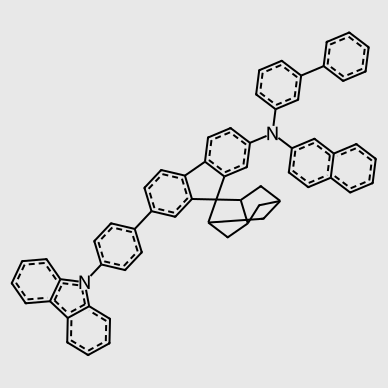 c1ccc(-c2cccc(N(c3ccc4c(c3)C3(c5cc(-c6ccc(-n7c8ccccc8c8ccccc87)cc6)ccc5-4)C4CC5CC(C4)C3C5)c3ccc4ccccc4c3)c2)cc1